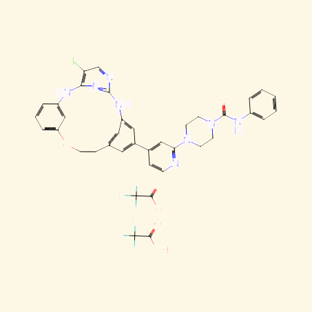 O=C(Nc1ccccc1)N1CCN(c2cc(-c3cc4cc(c3)Nc3ncc(Cl)c(n3)Nc3cccc(c3)OCC4)ccn2)CC1.O=C(O)C(F)(F)F.O=C(O)C(F)(F)F